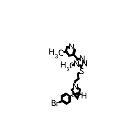 Cc1cncc(-c2nnc(SCCCN3C[C@@H]4C[C@]4(c4ccc(Br)cc4)C3)n2C)c1